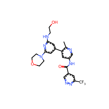 Cc1ncc(NC(=O)c2cnnc(C(F)(F)F)c2)cc1-c1cc(NCCO)nc(N2CCOCC2)c1